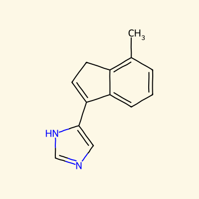 Cc1cccc2c1CC=C2c1cnc[nH]1